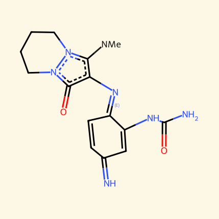 CNc1c(/N=C2\C=CC(=N)C=C2NC(N)=O)c(=O)n2n1CCCC2